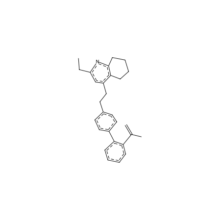 C=C(C)c1ccccc1-c1ccc(CCc2cc(CC)nc3c2CCCC3)cc1